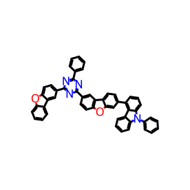 c1ccc(-c2nc(-c3ccc4oc5ccccc5c4c3)nc(-c3ccc4oc5cc(-c6cccc7c6c6ccccc6n7-c6ccccc6)ccc5c4c3)n2)cc1